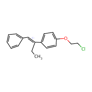 CC/C(=C\c1ccccc1)c1ccc(OCCCl)cc1